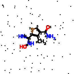 [CH2]c1c(C(N)=O)csc1C(=N)NO